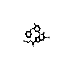 Cc1ccc(-n2c(=O)c(N)nc3sc(C(=O)NCC#N)cc32)cc1Oc1ccccc1